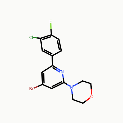 Fc1ccc(-c2cc(Br)cc(N3CCOCC3)n2)cc1Cl